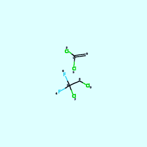 C=C(Cl)Cl.FC(F)(Cl)CCl